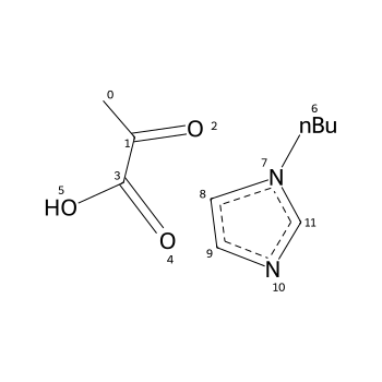 CC(=O)C(=O)O.CCCCn1ccnc1